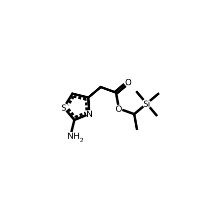 CC(OC(=O)Cc1csc(N)n1)[Si](C)(C)C